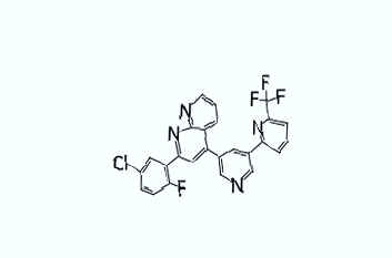 Fc1ccc(Cl)cc1-c1cc(-c2cncc(-c3cccc(C(F)(F)F)n3)c2)c2cccnc2n1